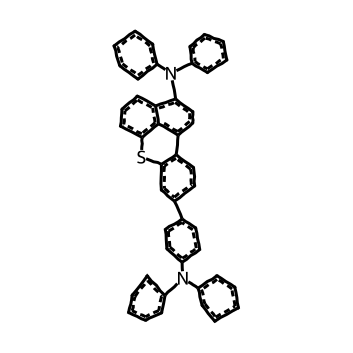 c1ccc(N(c2ccccc2)c2ccc(-c3ccc4c(c3)Sc3cccc5c(N(c6ccccc6)c6ccccc6)ccc-4c35)cc2)cc1